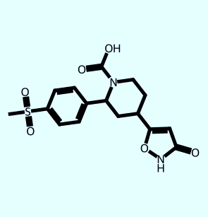 CS(=O)(=O)c1ccc(C2CC(c3cc(=O)[nH]o3)CCN2C(=O)O)cc1